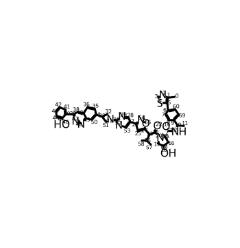 Cc1ncsc1-c1ccc(C(C)NC(=O)[C@@H]2C[C@@H](O)CN2C(=O)C(c2cc(-c3cnc(N4CC(c5ccc6cc(-c7ccccc7O)nnc6c5)C4)nc3)no2)C(C)C)cc1